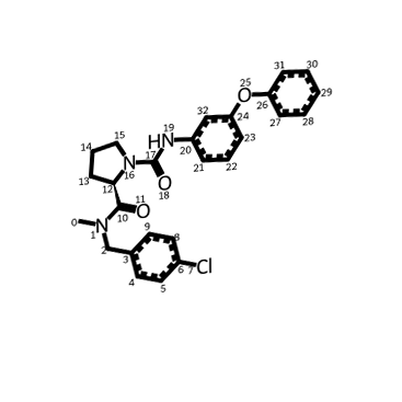 CN(Cc1ccc(Cl)cc1)C(=O)[C@H]1CCCN1C(=O)Nc1cccc(Oc2ccccc2)c1